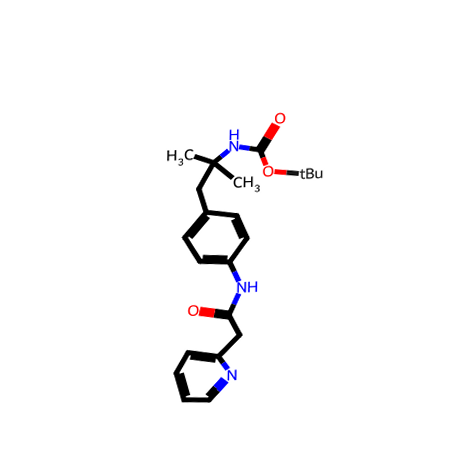 CC(C)(Cc1ccc(NC(=O)Cc2ccccn2)cc1)NC(=O)OC(C)(C)C